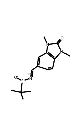 Cn1c(=O)n(C)c2cc(/C=N/[S+]([O-])C(C)(C)C)ccc21